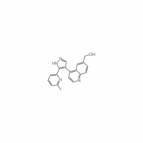 Cc1cccc(-c2[nH]ncc2-c2ccnc3ccc(CO)cc23)n1